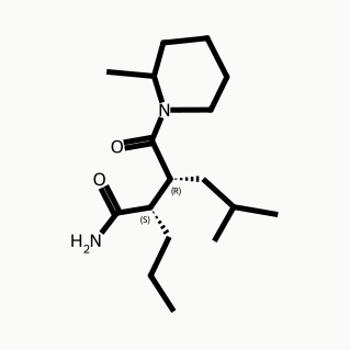 CCC[C@H](C(N)=O)[C@@H](CC(C)C)C(=O)N1CCCCC1C